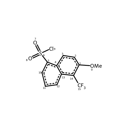 COc1ccc2c(S(=O)(=O)Cl)cccc2c1C(F)(F)F